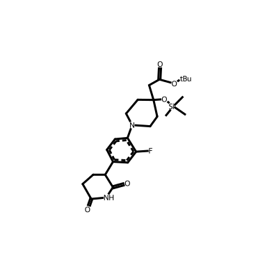 CC(C)(C)OC(=O)CC1(O[Si](C)(C)C)CCN(c2ccc(C3CCC(=O)NC3=O)cc2F)CC1